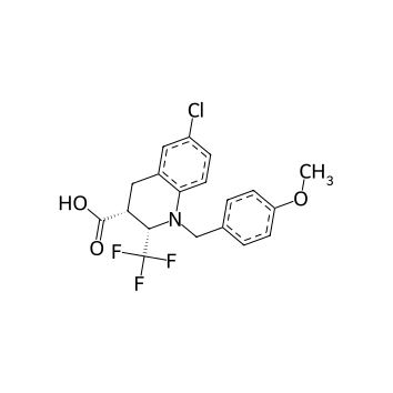 COc1ccc(CN2c3ccc(Cl)cc3C[C@@H](C(=O)O)[C@H]2C(F)(F)F)cc1